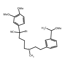 COc1ccc(C(C#N)(CCCN(C)CCc2cccc(C(C)OC)c2)C(C)C)cc1OC